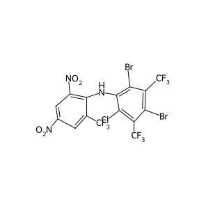 O=[N+]([O-])c1cc([N+](=O)[O-])c(Nc2c(Cl)c(C(F)(F)F)c(Br)c(C(F)(F)F)c2Br)c(C(F)(F)F)c1